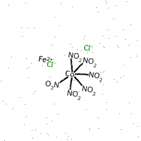 O=[N+]([O-])[Co]([N+](=O)[O-])([N+](=O)[O-])([N+](=O)[O-])([N+](=O)[O-])[N+](=O)[O-].[Cl-].[Cl-].[Fe+2]